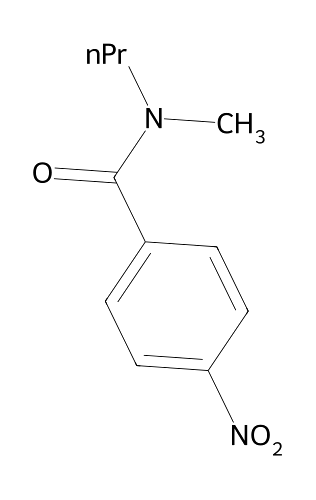 CCCN(C)C(=O)c1ccc([N+](=O)[O-])cc1